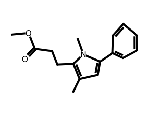 COC(=O)CCc1c(C)cc(-c2ccccc2)n1C